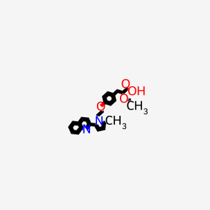 CCOC(Cc1ccc(OCCn2c(C)ccc2-c2ccc3ccccc3n2)cc1)C(=O)O